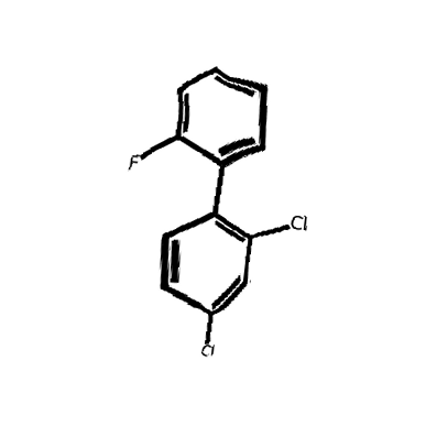 Fc1ccccc1-c1ccc(Cl)[c]c1Cl